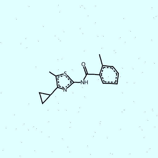 Cc1ccccc1C(=O)Nc1nc(C2CC2)c(C)s1